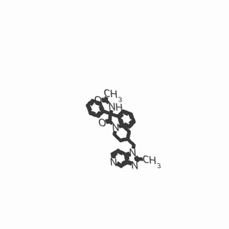 CC(=O)NC(C(=O)N1CCC(Cn2c(C)nc3cnccc32)CC1)(c1ccccc1)c1ccccc1